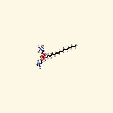 CCCCCCCCCCCCCCCCP(=O)(OCC[N+](C)(C)C)OCC[N+](C)(C)C